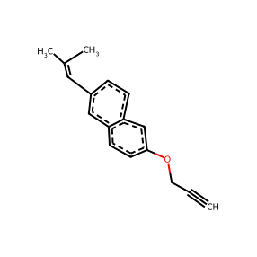 C#CCOc1ccc2cc(C=C(C)C)ccc2c1